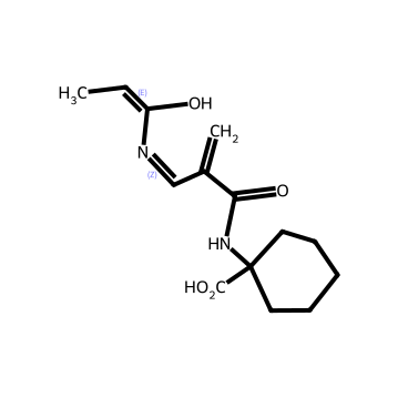 C=C(/C=N\C(O)=C/C)C(=O)NC1(C(=O)O)CCCCC1